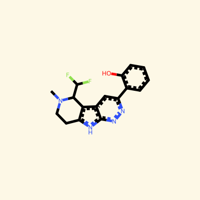 CN1CCc2[nH]c3nnc(-c4ccccc4O)cc3c2C1C(F)F